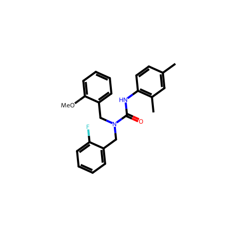 COc1ccccc1CN(Cc1ccccc1F)C(=O)Nc1ccc(C)cc1C